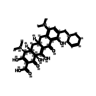 CN(C)c1cc(CN2CC=CCC2)c(O)c2c1C[C@H]1C[C@H]3[C@@H](N(C)C)C(O)=C(C(=O)O)C(=O)[C@@]3(O)C(O)=C1C2=O